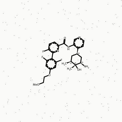 COCCOc1cc(F)c(-c2nc(C(=O)Nc3cnccc3[C@H]3C[C@@H](N)[C@](C)(O)[C@@H](C)C3)ccc2F)c(F)c1